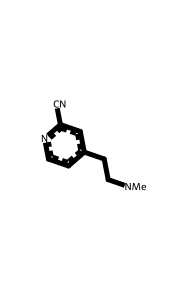 CNCCc1ccnc(C#N)c1